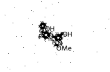 COc1cnc2c(-c3nc4cc(F)c(O[C@@H]5CCC[C@H]5O)cc4s3)cc(CO)cc2n1